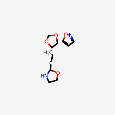 C1COCO1.C=CCC1NCCO1.c1cnoc1